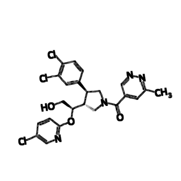 Cc1cc(C(=O)N2C[C@H]([C@H](CO)Oc3ccc(Cl)cn3)[C@@H](c3ccc(Cl)c(Cl)c3)C2)cnn1